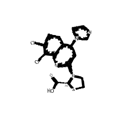 O=C(O)[C@@H]1SCCN1c1cc(-n2ccnc2)c2ccc(Cl)c(Cl)c2n1